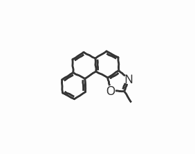 Cc1nc2ccc3ccc4ccccc4c3c2o1